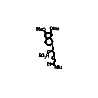 CCCCC(CC)COCC(CN1CCc2cc(OC)c(OC)cc2C1)OS(=O)(=O)O